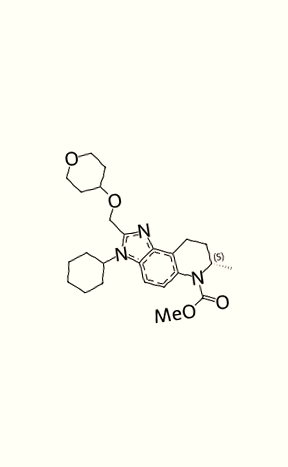 COC(=O)N1c2ccc3c(nc(COC4CCOCC4)n3C3CCCCC3)c2CC[C@@H]1C